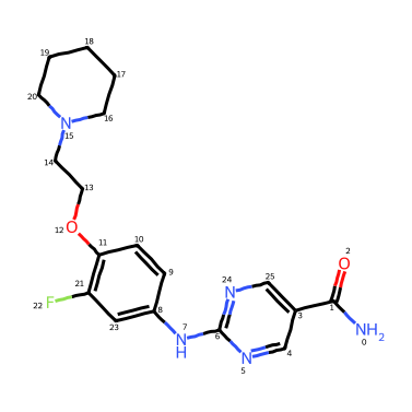 NC(=O)c1cnc(Nc2ccc(OCCN3CCCCC3)c(F)c2)nc1